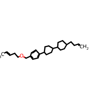 C=CCCC1CCC(C2CCC(c3ccc(COCCC=CC)cc3)CC2)CC1